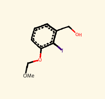 COCOc1cccc(CO)c1I